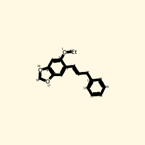 CCOc1cc2c(cc1C=CCc1ccccc1)OCO2